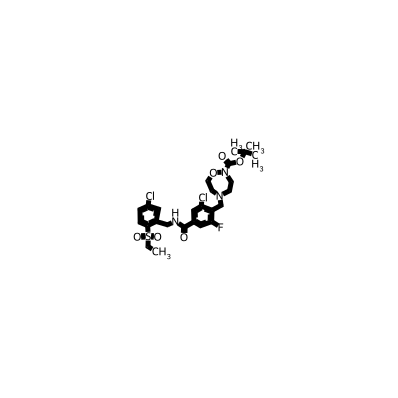 CCS(=O)(=O)c1ccc(Cl)cc1CNC(=O)c1cc(F)c(CN2CCON(C(=O)OC(C)(C)C)CC2)c(Cl)c1